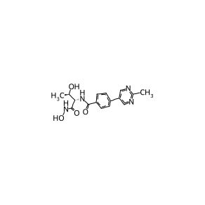 Cc1ncc(-c2ccc(C(=O)N[C@H](C(=O)NO)[C@@H](C)O)cc2)cn1